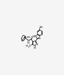 Cc1[nH]nc(-c2nc3ccc(C(C)C)cc3[nH]2)c1C(=O)N[C@@H]1CN2CCC1CC2